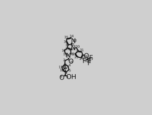 O=C(CC12CCC(C(=O)O)(CC1)CC2)N1CCc2c(n(Cc3cccc(OC(F)(F)F)c3)c3ncccc23)C1